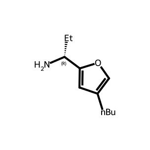 CCCCc1coc([C@H](N)CC)c1